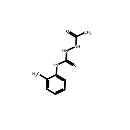 [CH2]C(=O)NNC(=S)Nc1ccccc1C